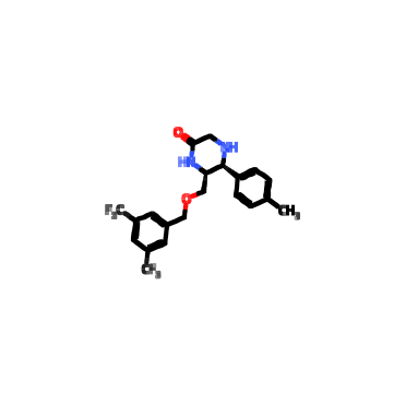 Cc1ccc([C@@H]2NCC(=O)N[C@@H]2COCc2cc(C(F)(F)F)cc(C(F)(F)F)c2)cc1